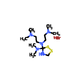 Br.CN(C)CCN(CCN(C)C)C1(N(C)C)NCSS1